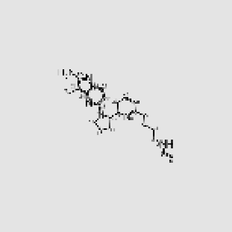 C=CNCCCCC1=NC(C2CCCN2c2ccn3nc(N)c(C)c3n2)CC=C1